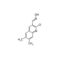 Cc1cc2cc(C=NO)c(Cl)nc2cc1C